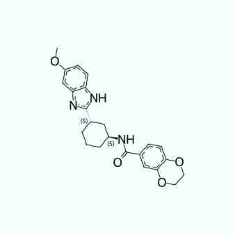 COc1ccc2[nH]c([C@H]3CCC[C@H](NC(=O)c4ccc5c(c4)OCCO5)C3)nc2c1